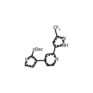 CCCCCCCCCCc1sccc1-c1ccnc(-c2cc(C(F)(F)F)n[nH]2)c1